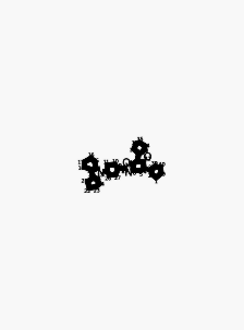 c1ccc(-c2cc3nc(-c4ccc(-n5c6ccccc6c6ccccc65)cc4)oc3c3c2oc2ccccc23)cc1